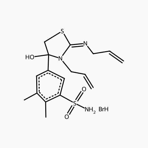 Br.C=CCN=C1SCC(O)(c2cc(C)c(C)c(S(N)(=O)=O)c2)N1CC=C